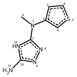 CN(c1ccsc1)c1nnc(N)[nH]1